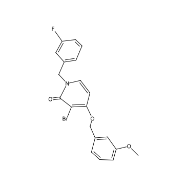 COc1cccc(COc2ccn(Cc3cccc(F)c3)c(=O)c2Br)c1